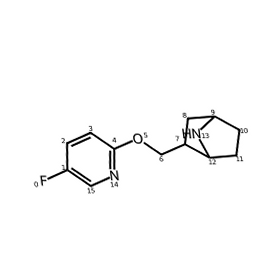 Fc1ccc(OCC2CC3CCC2N3)nc1